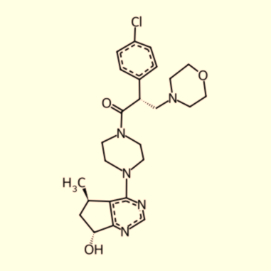 C[C@@H]1C[C@@H](O)c2ncnc(N3CCN(C(=O)[C@@H](CN4CCOCC4)c4ccc(Cl)cc4)CC3)c21